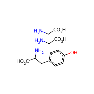 NC(Cc1ccc(O)cc1)C(=O)O.NCC(=O)O.NCC(=O)O